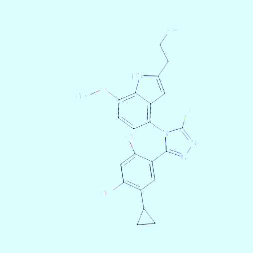 CCCc1cc2c(-n3c(S)nnc3-c3cc(C4CC4)c(O)cc3O)ccc(OC)c2[nH]1